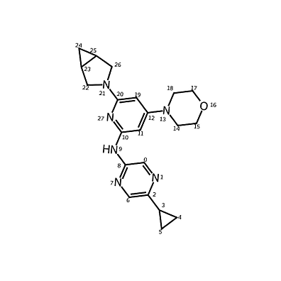 c1nc(C2CC2)cnc1Nc1cc(N2CCOCC2)cc(N2CC3CC3C2)n1